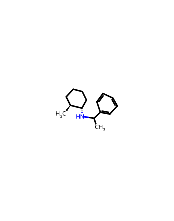 CC(N[C@H]1CCCC[C@@H]1C)c1ccccc1